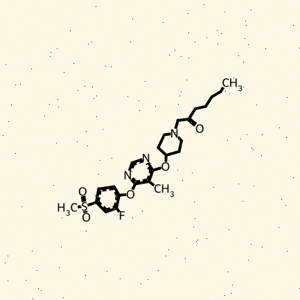 CCCCCC(=O)CN1CCC(Oc2ncnc(Oc3ccc(S(C)(=O)=O)cc3F)c2C)CC1